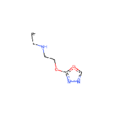 CC(C)CNCCOc1nnco1